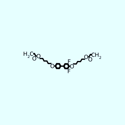 C=CC(=O)OCCCCCCOc1ccc(-c2cc(F)c(OCCCCCCOC(=O)C=C)c(F)c2)cc1